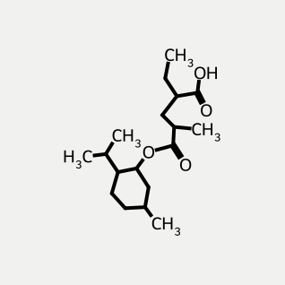 CCC(CC(C)C(=O)OC1CC(C)CCC1C(C)C)C(=O)O